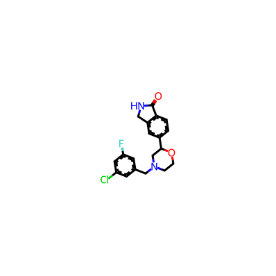 O=C1NCc2cc(C3CN(Cc4cc(F)cc(Cl)c4)CCO3)ccc21